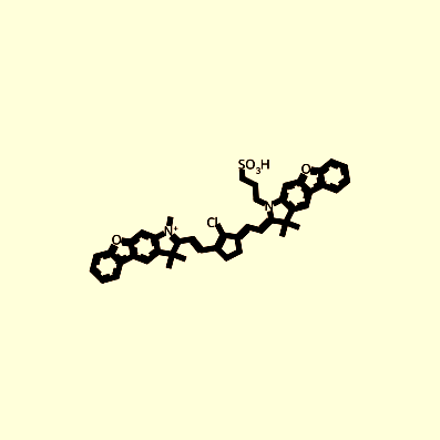 C[N+]1=C(C=CC2=C(Cl)C(=CC=C3N(CCCS(=O)(=O)O)c4cc5oc6ccccc6c5cc4C3(C)C)CC2)C(C)(C)c2cc3c(cc21)oc1ccccc13